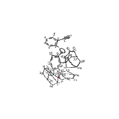 [C]#Cc1ccccc1Oc1ccc(C23CC4CC(CC(C4)C2)C3)c(C23CC4CC(CC(C4)C2)C3)c1C12CC3CC(CC(C3)C1)C2